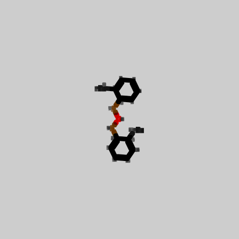 CCCCc1ccccc1SOSc1ccccc1CCCC